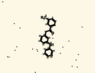 Cc1cccc(C(=O)Cc2cccc(Nc3cccnc3)c2)c1